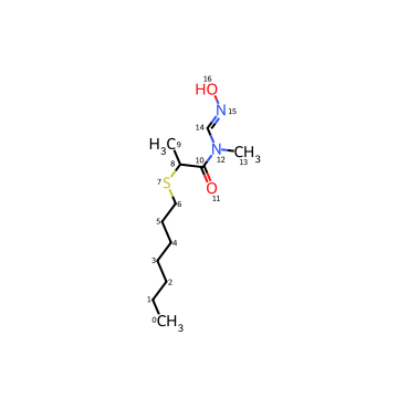 CCCCCCCSC(C)C(=O)N(C)C=NO